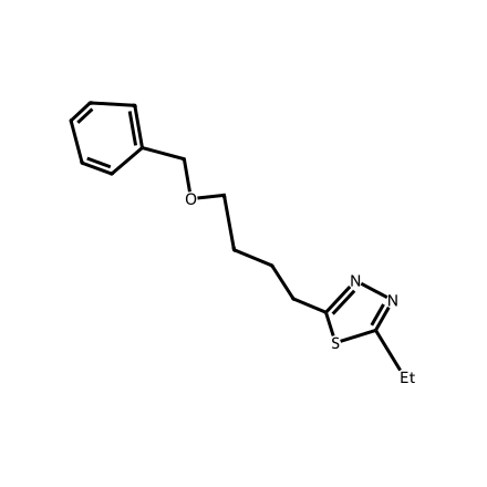 CCc1nnc(CCCCOCc2ccccc2)s1